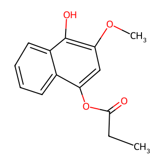 CCC(=O)Oc1cc(OC)c(O)c2ccccc12